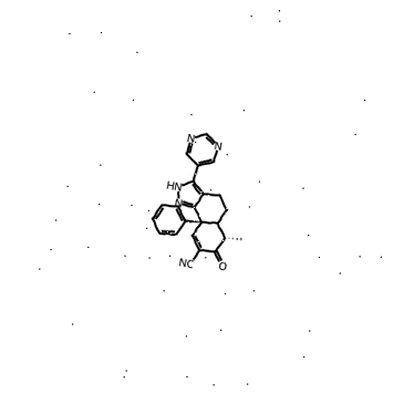 C[C@@H]1C(=O)C(C#N)=C[C@]2(c3ccccc3)c3n[nH]c(-c4cncnc4)c3CCC12